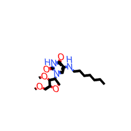 CCCCCCCNc1cn(C2COC(COC)C2OC)c(=O)[nH]c1=O